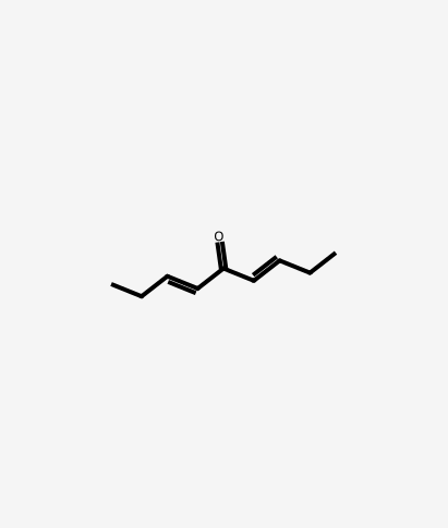 CC/C=C/C(=O)/C=C/CC